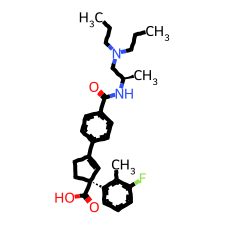 CCCN(CCC)C[C@@H](C)NC(=O)c1ccc(C2=C[C@](C(=O)O)(c3cccc(F)c3C)CC2)cc1